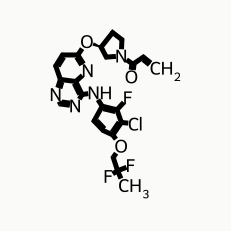 C=CC(=O)N1CC[C@H](Oc2ccc3ncnc(Nc4ccc(OCC(C)(F)F)c(Cl)c4F)c3n2)C1